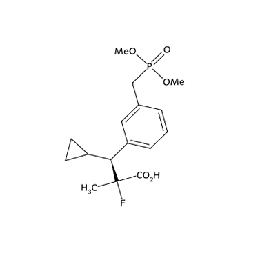 COP(=O)(Cc1cccc([C@H](C2CC2)C(C)(F)C(=O)O)c1)OC